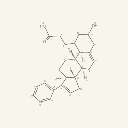 C[C@]12CC[C@H]3[C@@H](CC=C4CC(O)CC(CCC(=O)O)[C@@]43C)[C@@H]1CC=C2c1cccnc1